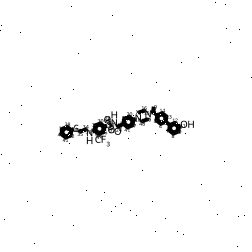 CC(c1ccc(-c2cccc(O)c2)cc1)N1CCN(c2ccc(C(=O)NS(=O)(=O)c3ccc(NCCSc4ccccc4)c(C(F)(F)F)c3)cc2)CC1